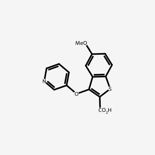 COc1ccc2sc(C(=O)O)c(Oc3cccnc3)c2c1